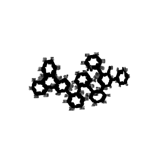 CC1C(c2cccnc2)=CC(C2=C(c3ccccc3-c3ccccc3-c3ccc4c5ccccc5c5ccccc5c4c3)CCC=C2)=CC1c1ccccn1